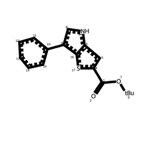 CC(C)(C)OC(=O)c1cc2[nH]cc(-c3ccccc3)c2s1